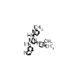 Cc1cccc(Nc2nc(Nc3ccn4ccnc4c3)cc(N3CCN(C)[C@@H](C)C3)n2)n1